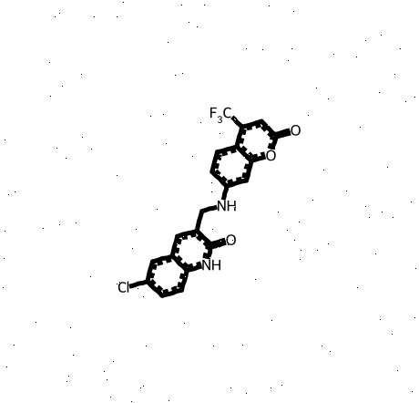 O=c1cc(C(F)(F)F)c2ccc(NCc3cc4cc(Cl)ccc4[nH]c3=O)cc2o1